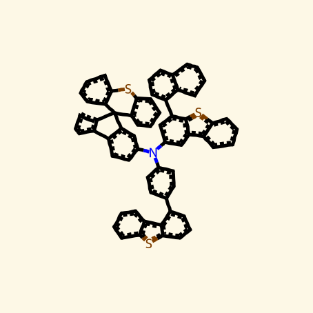 c1ccc2c(c1)Sc1ccccc1C21c2ccccc2-c2ccc(N(c3ccc(-c4cccc5sc6ccccc6c45)cc3)c3cc(-c4cccc5ccccc45)c4sc5ccccc5c4c3)cc21